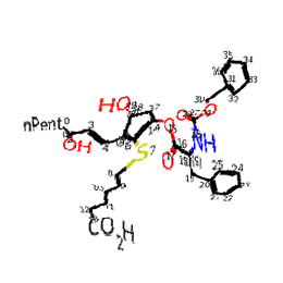 CCCCC[C@H](O)C=C[C@@H]1C(SCCCCCC(=O)O)=C(OC(=O)[C@H](Cc2ccccc2)NC(=O)OCc2ccccc2)C[C@H]1O